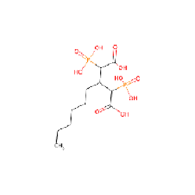 CCCCCCC(C(C(=O)O)P(=O)(O)O)C(C(=O)O)P(=O)(O)O